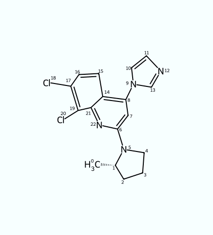 C[C@H]1CCCN1c1cc(-n2ccnc2)c2ccc(Cl)c(Cl)c2n1